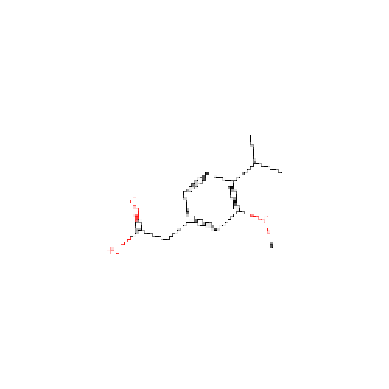 COc1cc(CC(=O)O)ccc1C(C)C